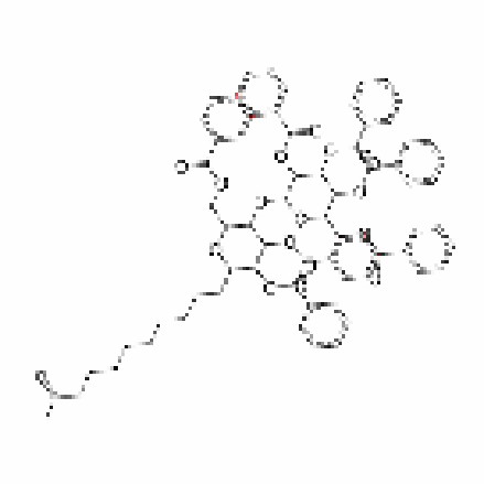 CC(=O)CCCCCCCCCC1OC(COC(=O)c2ccccc2)C(OC2OC(COC(=O)c3ccccc3)C(OC(=O)c3ccccc3)C(OC(=O)c3ccccc3)C2OC(=O)c2ccccc2)C(OC(=O)c2ccccc2)C1OC(=O)c1ccccc1